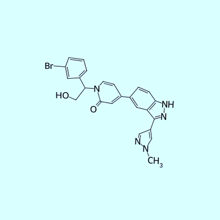 Cn1cc(-c2n[nH]c3ccc(-c4ccn(C(CO)c5cccc(Br)c5)c(=O)c4)cc23)cn1